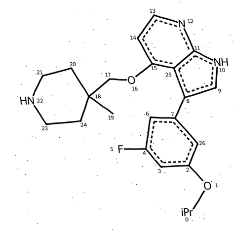 CC(C)Oc1cc(F)cc(-c2c[nH]c3nccc(OCC4(C)CCNCC4)c23)c1